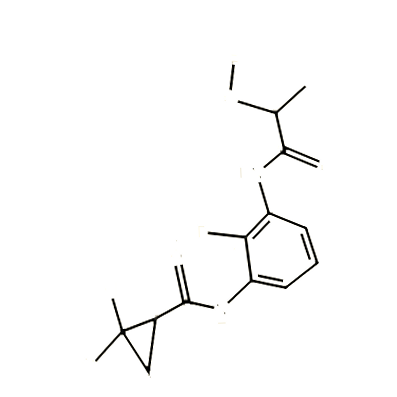 CCOC(C)C(=O)Nc1cccc(NC(=O)C2CC2(Cl)Cl)c1F